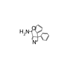 NC(=O)C1=CN=CC1(c1ccccc1)c1ccccc1